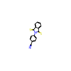 N#Cc1ccc(N2C(=S)c3ccccc3C2=S)cc1